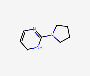 [CH]1C=CN=C(N2CCCC2)N1